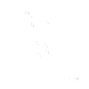 C[C@H]1CN(Cc2ccccc2)CCN1c1c(O)cccc1Cc1ccccc1-c1nnn(CCCCC(=O)O)n1